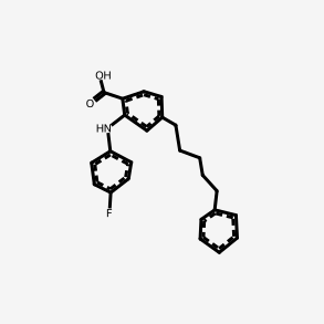 O=C(O)c1ccc(CCCCCc2ccccc2)cc1Nc1ccc(F)cc1